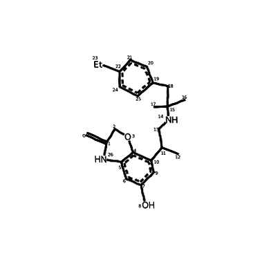 C=C1COc2c(cc(O)cc2C(C)CNC(C)(C)Cc2ccc(CC)cc2)N1